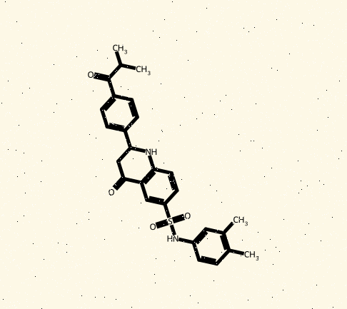 Cc1ccc(NS(=O)(=O)c2ccc3c(c2)C(=O)CC(c2ccc(C(=O)C(C)C)cc2)N3)cc1C